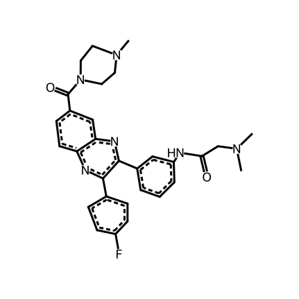 CN(C)CC(=O)Nc1cccc(-c2nc3cc(C(=O)N4CCN(C)CC4)ccc3nc2-c2ccc(F)cc2)c1